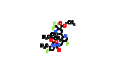 CCOC(=O)c1cc(-c2cc(CNC(=O)[C@@H]3C[C@@H](F)[C@H](C)N3C(=O)OC(C)(C)C)c(F)cn2)cnc1C(F)(F)F